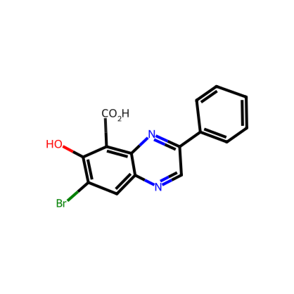 O=C(O)c1c(O)c(Br)cc2ncc(-c3ccccc3)nc12